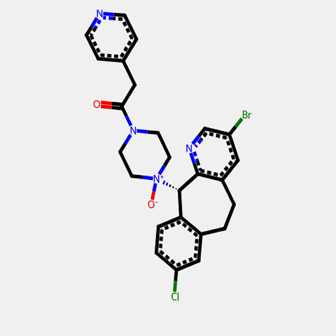 O=C(Cc1ccncc1)N1CC[N+]([O-])([C@H]2c3ccc(Cl)cc3CCc3cc(Br)cnc32)CC1